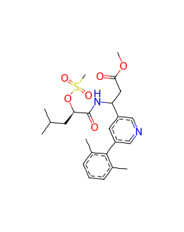 COC(=O)CC(NC(=O)[C@@H](CC(C)C)OS(C)(=O)=O)c1cncc(-c2c(C)cccc2C)c1